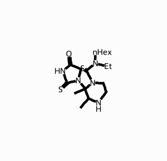 CCCCCCN(CC)C(=S)N1CCNC(C)C1(C)N1CC(=O)NC1=S